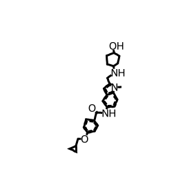 Cn1c(CNC2CCC(O)CC2)cc2cc(NC(=O)c3ccc(OCC4CC4)cc3)ccc21